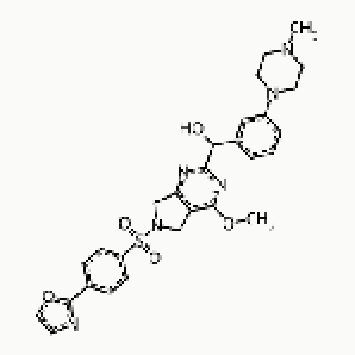 COc1nc(C(O)c2cccc(N3CCN(C)CC3)c2)nc2c1CN(S(=O)(=O)c1ccc(-c3ncco3)cc1)C2